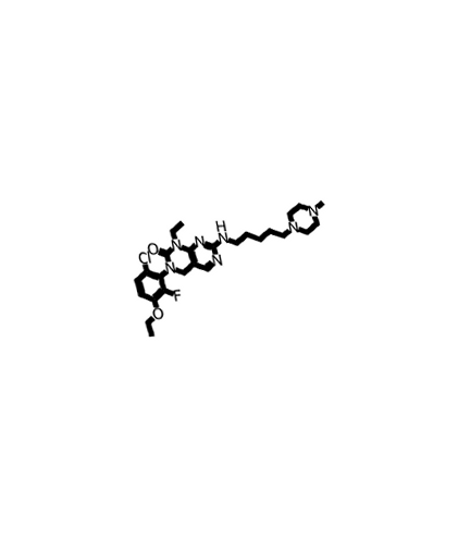 CCOc1ccc(Cl)c(N2Cc3cnc(NCCCCCN4CCN(C)CC4)nc3N(CC)C2=O)c1F